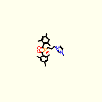 Cc1cc(C)c(C(=O)P(=O)(CCC[n+]2ccn(C)c2)C(=O)c2c(C)cc(C)cc2C)c(C)c1